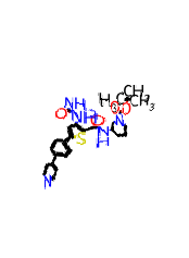 CC(C)(C)OC(=O)N1CCC[C@H](NC(=O)c2sc(-c3ccc(-c4ccncc4)cc3)cc2NC(N)=O)C1